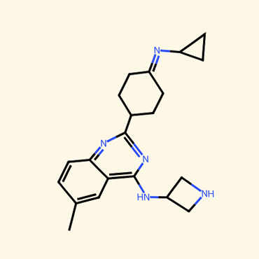 Cc1ccc2nc(C3CCC(=NC4CC4)CC3)nc(NC3CNC3)c2c1